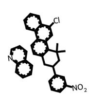 CC1(C)CC(c2cccc([N+](=O)[O-])c2)Cc2ccc3c(cc(Cl)c4ccccc43)c21.c1ccc2ncccc2c1